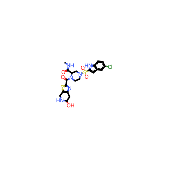 CNC(=O)C1CN(S(=O)(=O)c2cc3cc(Cl)ccc3[nH]2)CCN1C(=O)c1nc2c(s1)CNC(O)C2